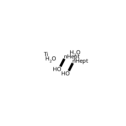 CCCCCCCO.CCCCCCCO.O.O.[Ti]